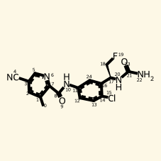 Cc1cc(C#N)cnc1C(=O)Nc1ccc(Cl)c([C@@H](CF)NC(N)=O)c1